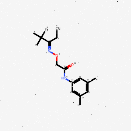 CCC(C)(C)/C(CC#N)=N/OCC(=O)Nc1cc(C)cc(C)c1